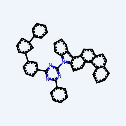 c1ccc(-c2cccc(-c3cccc(-c4nc(-c5ccccc5)nc(-n5c6ccccc6c6c7ccc8ccc9ccccc9c8c7ccc65)n4)c3)c2)cc1